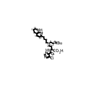 CC(C)(C)OCCN(CCCCc1ccc2c(n1)NCCC2)CC[C@H](NC(=O)c1ncncc1Cl)C(=O)O